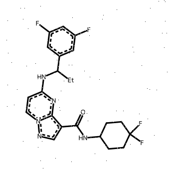 CCC(Nc1ccn2ncc(C(=O)NC3CCC(F)(F)CC3)c2n1)c1cc(F)cc(F)c1